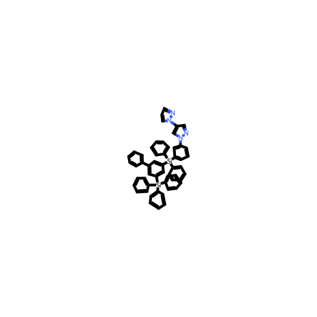 c1ccc(-c2cc([Si](c3ccccc3)(c3ccccc3)c3ccccc3)cc([Si](c3ccccc3)(c3ccccc3)c3cccc(-n4cc(-n5cccn5)cn4)c3)c2)cc1